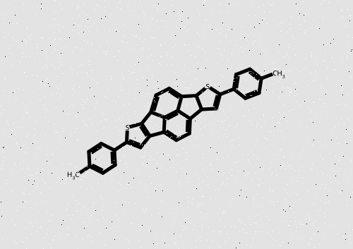 Cc1ccc(C2=CC3c4ccc5c6c(ccc(c46)C3S2)-c2sc(-c3ccc(C)cc3)cc2-5)cc1